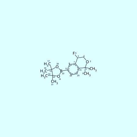 CC1(C)OCC(F)c2cc(B3OC(C)(C)C(C)(C)O3)ccc21